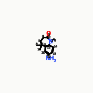 CN1C(=O)CCC(C)(C)c2cc(N)ccc21